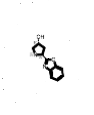 O[C@H]1CN[C@H](c2nc3ccccc3o2)C1